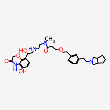 CN(CCNC[C@H](O)c1ccc(O)c2c1OCC(=O)N2)C(=O)CCOCCc1cccc(CCN2CC3CCCC3C2)c1